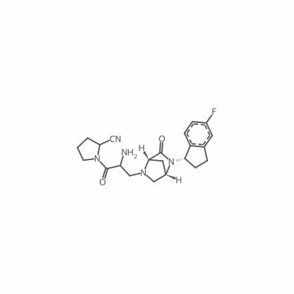 N#CC1CCCN1C(=O)C(N)CN1C[C@@H]2C[C@H]1C(=O)N2[C@H]1CCc2cc(F)ccc21